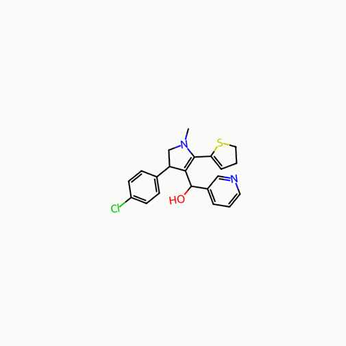 CN1CC(c2ccc(Cl)cc2)C(C(O)c2cccnc2)=C1C1=CCCS1